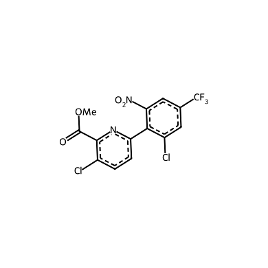 COC(=O)c1nc(-c2c(Cl)cc(C(F)(F)F)cc2[N+](=O)[O-])ccc1Cl